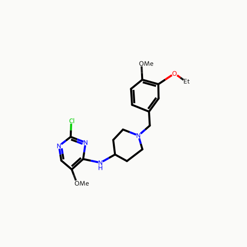 CCOc1cc(CN2CCC(Nc3nc(Cl)ncc3OC)CC2)ccc1OC